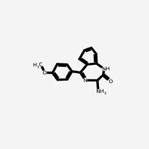 COc1ccc(C2=NC(N)C(=O)Nc3ccccc32)cc1